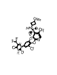 CO[C@H]1C[C@@H](NS(=O)(=O)c2cc(Oc3c(Cl)cc(-n4nc(C(F)F)c(=O)[nH]c4=O)cc3Cl)ncc2O)C1